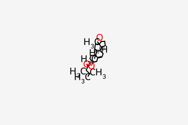 CC(C)C(C)C(=O)OC1CCC2(C)C(=CCC3[C@@H]4CCC(=O)C4(C)CC[C@@H]32)C1